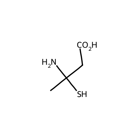 CC(N)(S)CC(=O)O